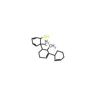 CC1C(C2C=CCCC2)=CCCC1C1(C)C=CC=CC1S